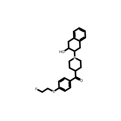 O=C(c1ccc(SCCF)cc1)C1CCN(C2Cc3ccccc3CC2O)CC1